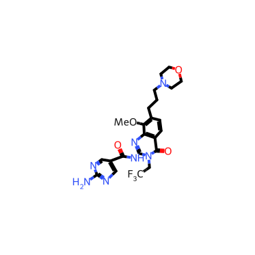 COc1c(CCCN2CCOCC2)ccc2c(=O)n(CC(F)(F)F)c(NC(=O)c3cnc(N)nc3)nc12